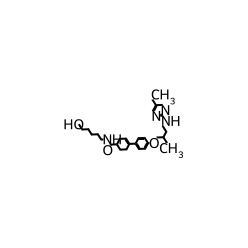 CCc1cnc(NCCC(CC)COc2ccc(C3=CCC(C(=O)NCCCCCO)CC3)cc2)nc1